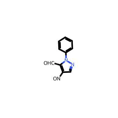 O=Cc1c(N=O)cnn1-c1ccccc1